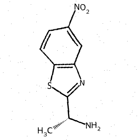 C[C@@H](N)c1nc2cc([N+](=O)[O-])ccc2s1